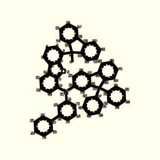 CC1(c2cccc3c2oc2c(N(c4cccc(-c5ccccc5)c4)c4ccc5c(c4)C(c4ccccc4)(c4ccccc4)c4ccccc4-5)cccc23)c2ccccc2-c2ccccc21